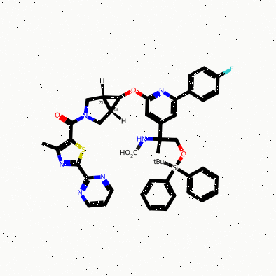 Cc1nc(-c2ncccn2)sc1C(=O)N1C[C@@H]2C(Oc3cc(C(C)(CO[Si](c4ccccc4)(c4ccccc4)C(C)(C)C)NC(=O)O)cc(-c4ccc(F)cc4)n3)[C@@H]2C1